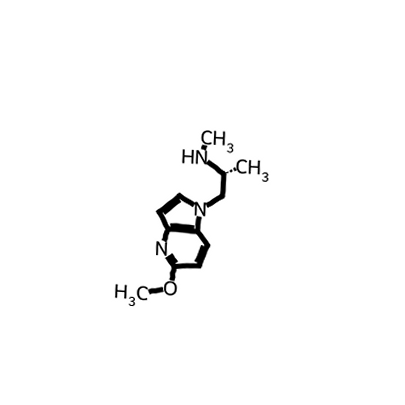 CN[C@H](C)Cn1ccc2nc(OC)ccc21